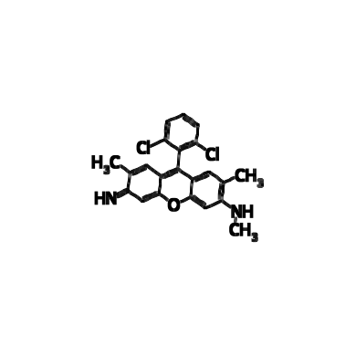 CNc1cc2oc3cc(=N)c(C)cc-3c(-c3c(Cl)cccc3Cl)c2cc1C